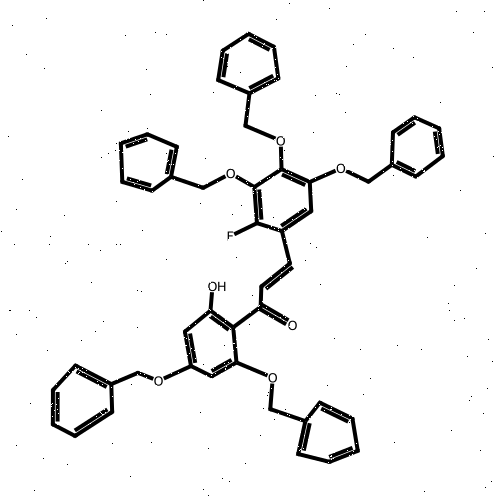 O=C(C=Cc1cc(OCc2ccccc2)c(OCc2ccccc2)c(OCc2ccccc2)c1F)c1c(O)cc(OCc2ccccc2)cc1OCc1ccccc1